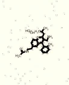 CC(=O)NCCc1ccc2nc(CC(C)C)c(CN)c(-c3ccccc3C)c2c1.Cl.Cl